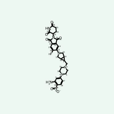 Nc1cc(N2CCN(CC3C4CN(c5cc6c(cc5F)C(=O)N(C5CCC(=O)NC5=O)C6=O)CC34)CC2)ccc1[N+](=O)[O-]